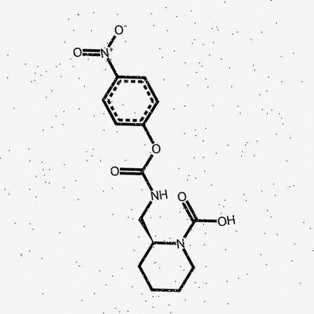 O=C(NC[C@@H]1CCCCN1C(=O)O)Oc1ccc([N+](=O)[O-])cc1